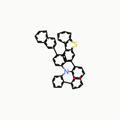 c1ccc(-c2ccccc2N(c2ccc(-c3ccc4ccccc4c3)cc2)c2ccccc2-c2ccc3c(c2)sc2ccccc23)cc1